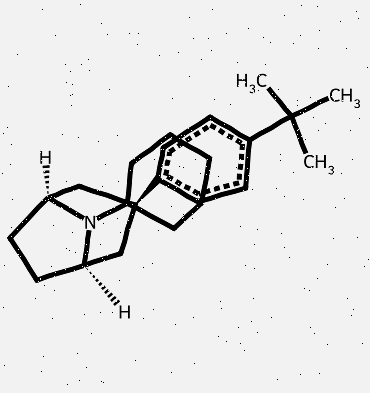 CC(C)(C)c1ccc([C@H]2C[C@H]3CC[C@@H](C2)N3C2CCCCC2)cc1